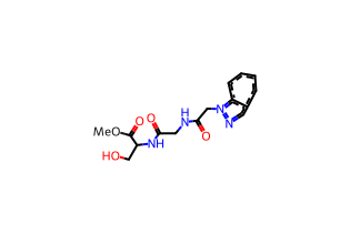 COC(=O)C(CO)NC(=O)CNC(=O)Cn1ncc2ccccc21